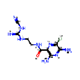 N#CNC(=N)NCCNC(=O)c1nc(Cl)c(N)nc1N